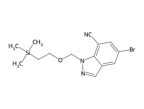 C[Si](C)(C)CCOCn1ncc2cc(Br)cc(C#N)c21